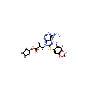 CC(Cn1c(Sc2cc3c(cc2I)OCO3)nc2c(N)ncnc21)C(=O)OC1CCCC1